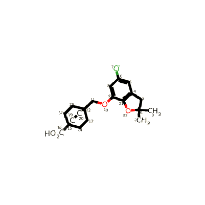 CC1(C)Cc2cc(Cl)cc(OCC34CCC(C(=O)O)(CC3)CC4)c2O1